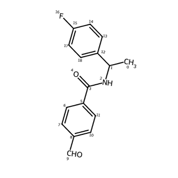 CC(NC(=O)c1ccc(C=O)cc1)c1ccc(F)cc1